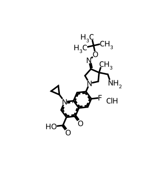 CC(C)(C)ON=C1CN(c2cc3c(cc2F)c(=O)c(C(=O)O)cn3C2CC2)CC1(C)CN.Cl